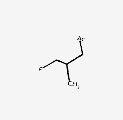 CC(=O)CC(C)CF